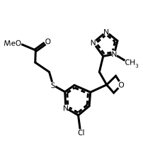 COC(=O)CCSc1cc(C2(Cc3nncn3C)COC2)cc(Cl)n1